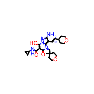 CC1(Cn2c(=O)c(C(=O)NC3CC3)c(O)n3nc(N)c(/C=C/C4CCOCC4)c23)CCOCC1